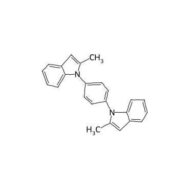 Cc1cc2ccccc2n1-c1ccc(-n2c(C)cc3ccccc32)cc1